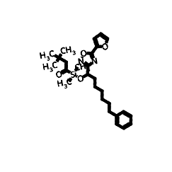 CC(C)(C)CC(=O)[Si](C)(C)OC(CCCCCCc1ccccc1)c1noc(-c2ccco2)n1